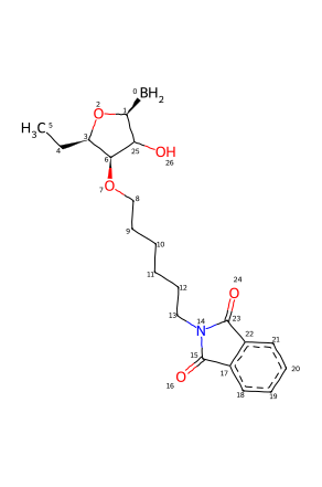 B[C@@H]1O[C@H](CC)[C@H](OCCCCCCN2C(=O)c3ccccc3C2=O)C1O